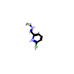 CC(C)/N=C/c1cccc(Br)n1